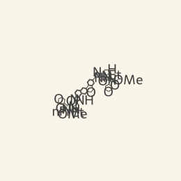 CCC[C@H](CC)N(Cc1nc2ccc3cc4c(cc3c2[nH]1)OCc1cc(-c2cnc([C@@H]3CC[C@H](CC)N3C(=O)[C@@H](NC(=O)OC)C3CCOCC3)[nH]2)ccc1-4)C(=O)[C@@H](NC(=O)OC)C1CCOCC1